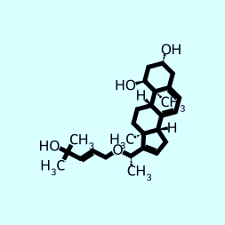 C[C@H](OC/C=C/C(C)(C)O)C1=CC[C@H]2C3=CC=C4C[C@@H](O)C[C@H](O)[C@]4(C)[C@H]3CC[C@]12C